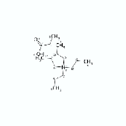 CCC(=O)O.CCC[N+](CCC)(CCC)CCC